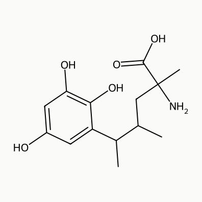 CC(CC(C)(N)C(=O)O)C(C)c1cc(O)cc(O)c1O